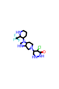 O=C1NNCC(N2CCC3C(C2)NCN3C2CCCNC2C(F)(F)F)C1Cl